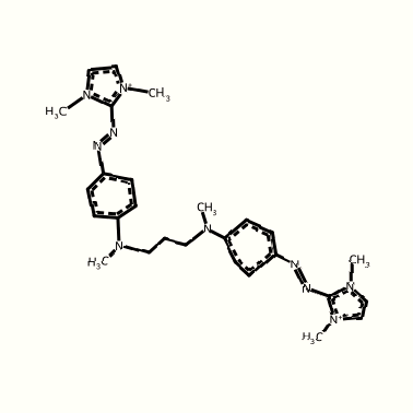 CN(CCCN(C)c1ccc(N=Nc2n(C)cc[n+]2C)cc1)c1ccc(N=Nc2n(C)cc[n+]2C)cc1